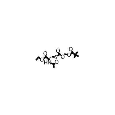 CCOC(=O)[C@H](CSC(=O)OCOC(=O)C(C)(C)C)NC(C)=O